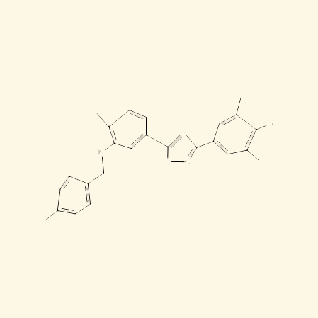 Cc1ccc(-c2nc(-c3cc(F)c(O)c(F)c3)no2)cc1NCc1ccc(F)cc1